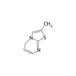 CC1=CN2CC=CN=C2S1